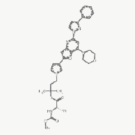 CC(C)[C@H](NC(=O)OC(C)(C)C)C(=O)OC(C)(C)CCn1cc(-c2cc3nc(-n4ccc(-c5ccccc5)n4)cc(N4CCOCC4)c3o2)cn1